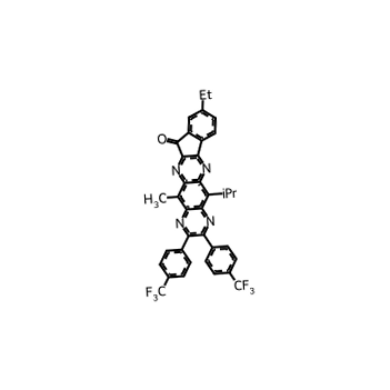 CCc1ccc2c(c1)C(=O)c1nc3c(C)c4nc(-c5ccc(C(F)(F)F)cc5)c(-c5ccc(C(F)(F)F)cc5)nc4c(C(C)C)c3nc1-2